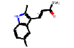 COC(=O)/C=C/c1c(C)[nH]c2ccc(C)cc12